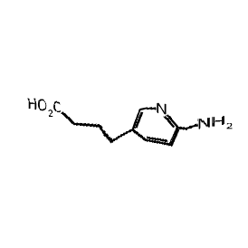 Nc1ccc(CCCC(=O)O)cn1